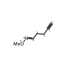 [C]#CCCC=NOC